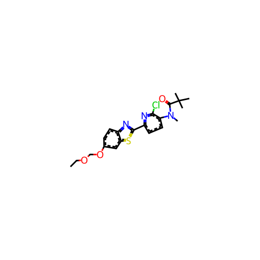 CCOCOc1ccc2nc(-c3ccc(N(C)C(=O)C(C)(C)C)c(Cl)n3)sc2c1